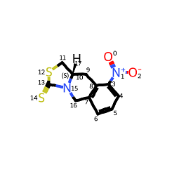 O=[N+]([O-])c1cccc2c1C[C@H]1CSC(=S)N1C2